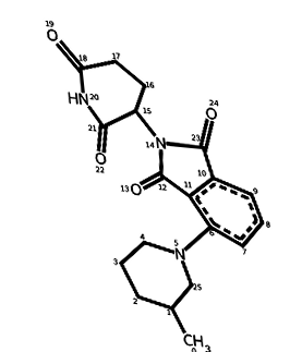 CC1CCCN(c2cccc3c2C(=O)N(C2CCC(=O)NC2=O)C3=O)C1